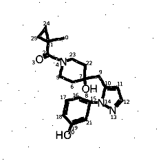 CC1(C(=O)N2CCC(O)(Cc3ccnn3-c3cccc(O)c3)CC2)CC1